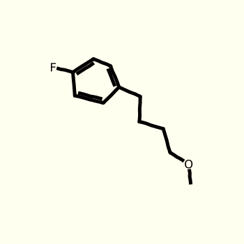 COCCCCc1ccc(F)cc1